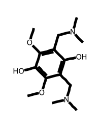 COc1c(O)c(OC)c(CN(C)C)c(O)c1CN(C)C